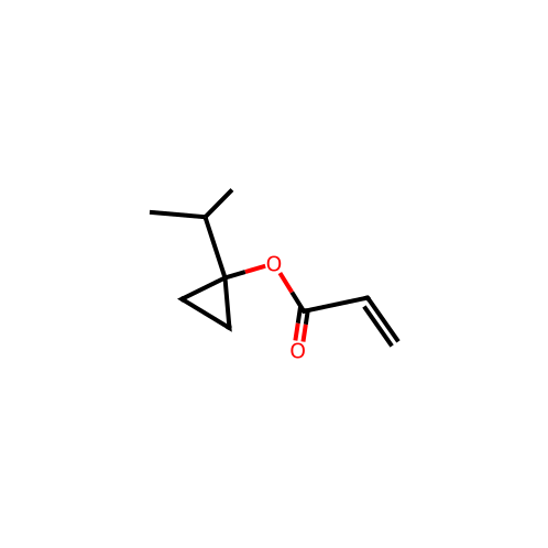 C=CC(=O)OC1(C(C)C)CC1